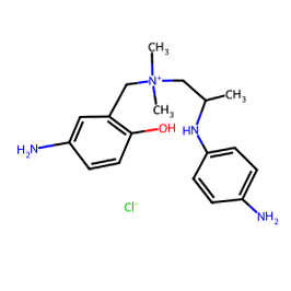 CC(C[N+](C)(C)Cc1cc(N)ccc1O)Nc1ccc(N)cc1.[Cl-]